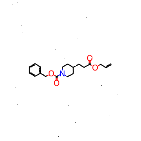 C=CCOC(=O)CCC1CCN(C(=O)OCc2ccccc2)CC1